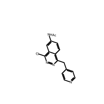 CC(=O)Nc1ccc2c(Cc3ccncc3)nnc(Cl)c2c1